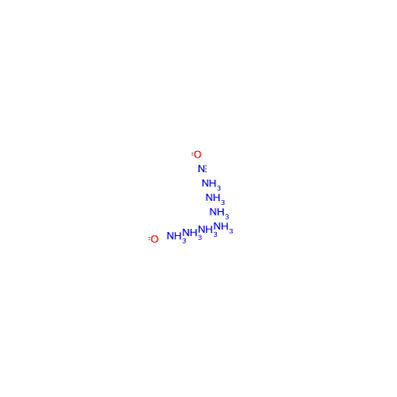 N.N.N.N.N.N.N.[N].[O].[O]